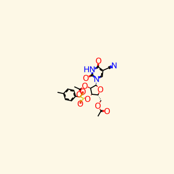 CC(=O)OC[C@H]1O[C@@H](n2cc(C#N)c(=O)[nH]c2=O)[C@H](OC(C)=O)[C@H]1OS(=O)(=O)c1ccc(C)cc1